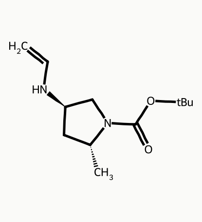 C=CN[C@@H]1C[C@@H](C)N(C(=O)OC(C)(C)C)C1